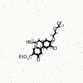 CCOC(=O)c1cn2c(cc1=O)-c1cc(Cl)c(OCCOCC(F)(F)F)cc1CN2C(C)(C)C